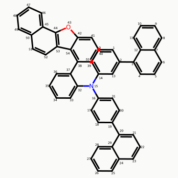 c1cc(-c2cccc3ccccc23)cc(N(c2ccc(-c3cccc4ccccc34)cc2)c2ccccc2-c2cccc3oc4c5ccccc5ccc4c23)c1